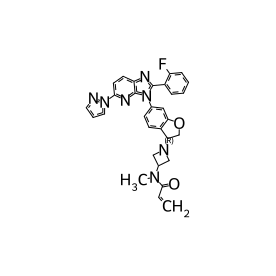 C=CC(=O)N(C)C1CN([C@H]2COc3cc(-n4c(-c5ccccc5F)nc5ccc(-n6cccn6)nc54)ccc32)C1